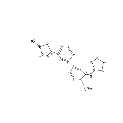 COc1ccc(-c2cccc(C3COB(O)C3)n2)cc1OC1CCCC1